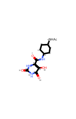 CC(=O)NC1CCC(NC(=O)c2[nH]c(=O)[nH]c(=O)c2O)CC1